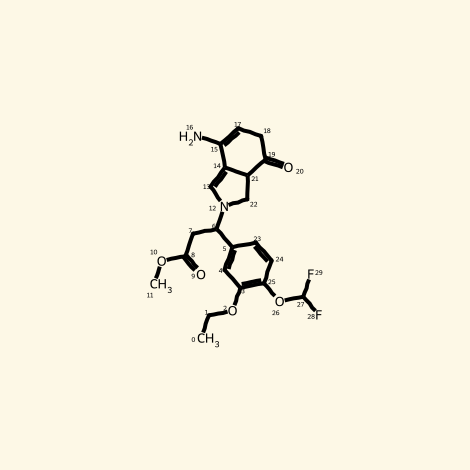 CCOc1cc(C(CC(=O)OC)N2C=C3C(N)=CCC(=O)C3C2)ccc1OC(F)F